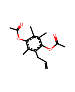 C=CCc1c(C)c(OC(C)=O)c(C)c(C)c1OC(C)=O